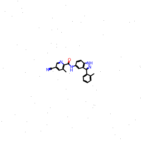 Cc1ccccc1-c1n[nH]c2ccc(NC(=O)c3ncc(C#N)cc3C)cc12